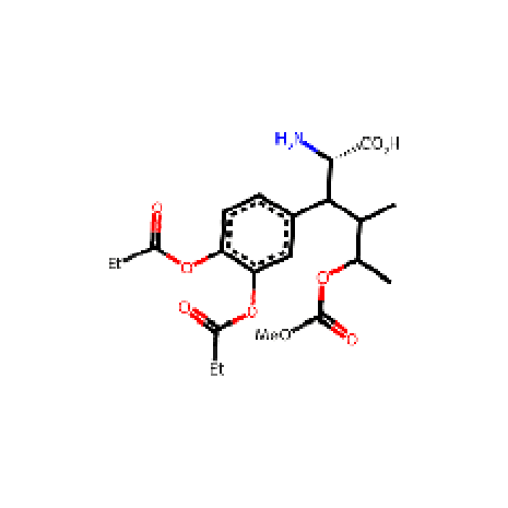 CCC(=O)Oc1ccc(C(C(C)C(C)OC(=O)OC)[C@H](N)C(=O)O)cc1OC(=O)CC